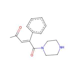 CC(=O)C=C(C(=O)N1CCNCC1)c1ccccc1